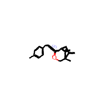 Cc1ccc(/C=C2\OCC3(C)C(C)CC2C3(C)C)cc1